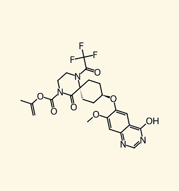 C=C(C)OC(=O)N1CCN(C(=O)C(F)(F)F)[C@]2(CC[C@H](Oc3cc4c(O)ncnc4cc3OC)CC2)C1=O